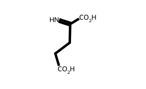 N=C(CCC(=O)O)C(=O)O